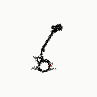 CO[C@H]1C[C@@H]2CC[C@@H](C)[C@@](O)(O2)C(=O)C(=O)N2CCCC[C@H]2C(=O)O[C@H]([C@H](N)C[C@@H]2CC[C@@H](OCCCCc3cn(CCOCCOCCOCCOCCOCCOCCC(=O)N4CCN(c5ccc(-n6c(=O)ccc7cnc8ccc(-c9cnc%10ccccc%10c9)cc8c76)cc5C(F)(F)F)CC4)nn3)[C@H](OC)C2)CC(=O)[C@H](C)/C=C(\C)[C@@H](O)[C@@H](OC)C(=O)[C@H](C)C[C@H](C)/C=C/C=C/C=C/1C